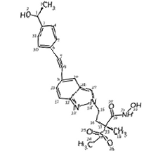 C[C@H](O)c1ccc(C#Cc2ccc3nn(CC[C@](C)(C(=O)NO)S(C)(=O)=O)cc3c2)cc1